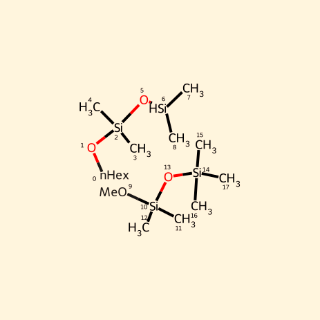 CCCCCCO[Si](C)(C)O[SiH](C)C.CO[Si](C)(C)O[Si](C)(C)C